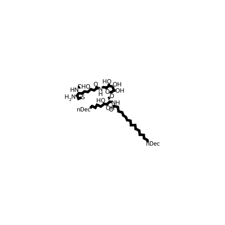 CCCCCCCCCCCCCCCCCCCCCCCCCC(=O)N[C@@H](COC1OC(CNC(=O)CCCCC2SC[C@H](N)[C@@H]2NC=O)C(O)C(O)C1O)C(O)[C@H](O)CCCCCCCCCCCCCC